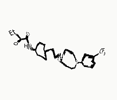 CCC(=O)C(=O)NC1CCC(CCN2CCN(c3cccc(C(F)(F)F)c3)CC2)CC1